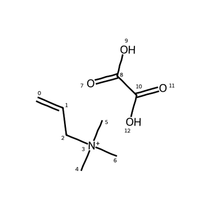 C=CC[N+](C)(C)C.O=C(O)C(=O)O